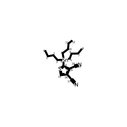 CCC[CH2][Sn]([CH2]CCC)([CH2]CCC)[c]1scc(C#N)c1C#N